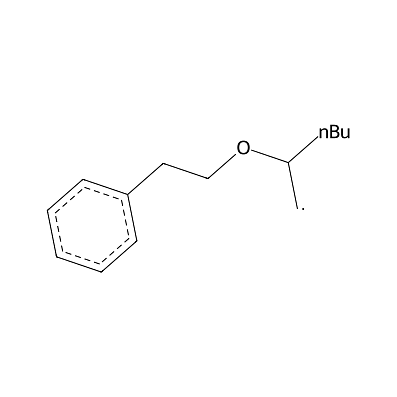 [CH2]C(CCCC)OCCc1ccccc1